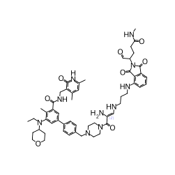 CCN(c1cc(-c2ccc(CN3CCN(C(=O)/C(N)=C/NCCCNc4cccc5c4C(=O)N(C(C=O)CCC(=O)NC)C5=O)CC3)cc2)cc(C(=O)NCc2c(C)cc(C)[nH]c2=O)c1C)C1CCOCC1